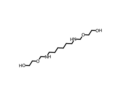 OCCOCNCCCCCCNCOCCO